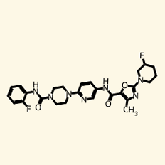 Cc1nc(N2CCCC(F)C2)oc1C(=O)Nc1ccc(N2CCN(C(=O)Nc3ccccc3F)CC2)nc1